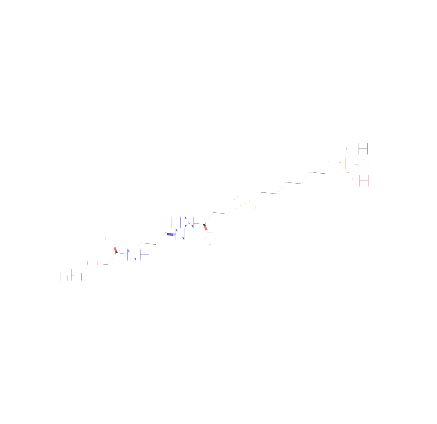 CCCOCC(=O)NCC/C=N/NC(=O)CCSSCCCCCCOP(C)(=O)O